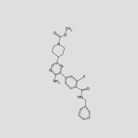 COC(=O)N1CCC(c2cnc(N)c(-c3ccc(C(=O)NCc4ccccc4)c(F)c3)n2)CC1